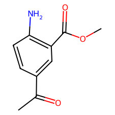 COC(=O)c1cc(C(C)=O)ccc1N